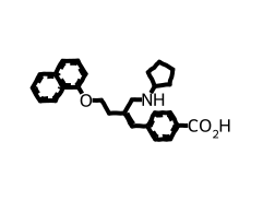 O=C(O)c1ccc(C=C(CCOc2cccc3ccccc23)CNC2CCCC2)cc1